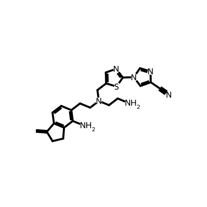 C=C1CCc2c1ccc(CCN(CCN)Cc1cnc(-n3cnc(C#N)c3)s1)c2N